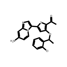 CC(=O)c1sc(-c2cnc3cc(N)ccn23)cc1OC(C)c1ccccc1Cl